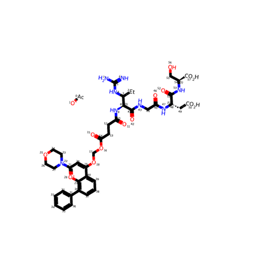 CC(=O)[O-].CCC(NC(=N)N)[C@H](NC(=O)CCC(=O)OCOc1cc(N2CCOCC2)[o+]c2c(-c3ccccc3)cccc12)C(=O)NCC(=O)N[C@@H](CC(=O)O)C(=O)N[C@@H](CO)C(=O)O